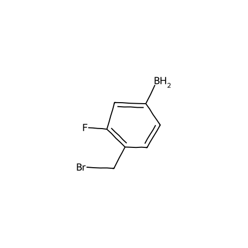 Bc1ccc(CBr)c(F)c1